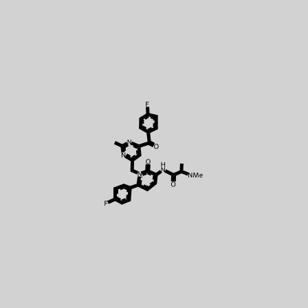 CNC(C)C(=O)Nc1ccc(-c2ccc(F)cc2)n(Cc2cc(C(=O)c3ccc(F)cc3)nc(C)n2)c1=O